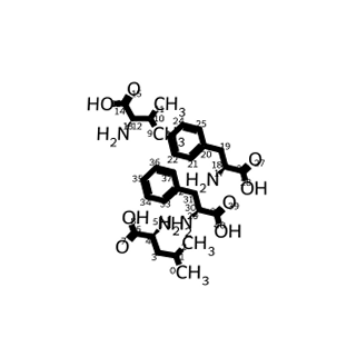 CC(C)C[C@H](N)C(=O)O.CC(C)[C@H](N)C(=O)O.N[C@@H](Cc1ccccc1)C(=O)O.N[C@@H](Cc1ccccc1)C(=O)O